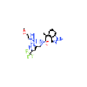 COCCNn1nc(C(F)(F)F)cc1CNC(=O)C(C)c1cccc2[nH]ncc12